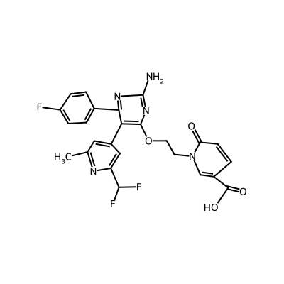 Cc1cc(-c2c(OCCn3cc(C(=O)O)ccc3=O)nc(N)nc2-c2ccc(F)cc2)cc(C(F)F)n1